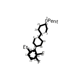 CCCCC[C@H]1CC[C@H]([C@H]2CC[C@H](c3c(CC)ccc(F)c3F)CC2)CC1